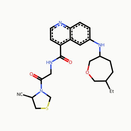 CCC1CCC(Nc2ccc3nccc(C(=O)NCC(=O)N4CSCC4C#N)c3c2)COC1